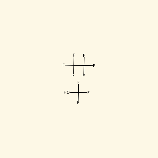 FC(F)(F)C(F)(F)F.OC(F)(F)F